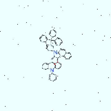 c1ccc(N(c2ccccc2)c2ccccc2-c2ccc3c4c5ccccc5ccc4n(-c4ccc5c(c4)C(c4ccccc4)(c4ccccc4)c4ccccc4-5)c3c2)cc1